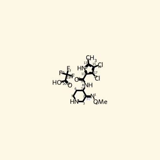 CO/N=C1\CNCCC1NC(=O)c1[nH]c(C)c(Cl)c1Cl.O=C(O)C(F)(F)F